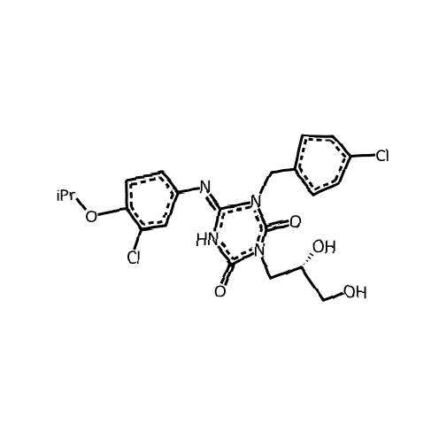 CC(C)Oc1ccc(/N=c2\[nH]c(=O)n(C[C@H](O)CO)c(=O)n2Cc2ccc(Cl)cc2)cc1Cl